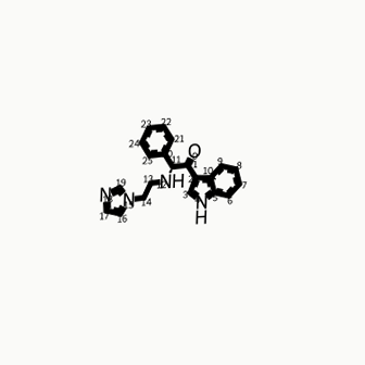 O=C(c1c[nH]c2ccccc12)[C@H](NCCn1ccnc1)c1ccccc1